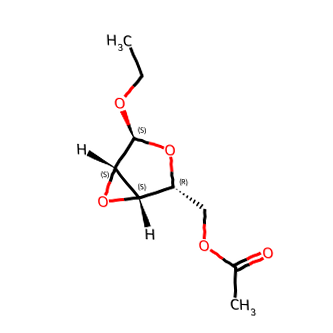 CCO[C@H]1O[C@H](COC(C)=O)[C@@H]2O[C@H]12